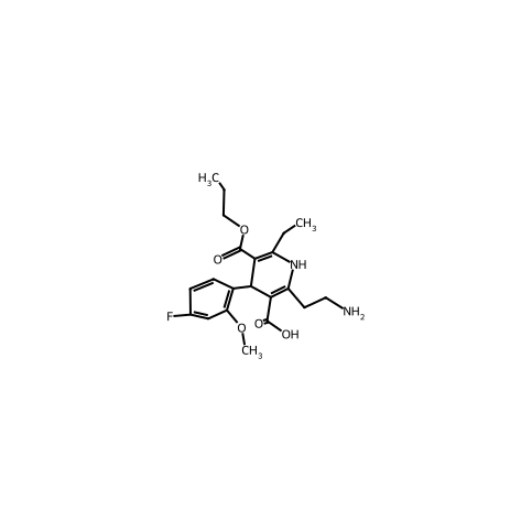 CCCOC(=O)C1=C(CC)NC(CCN)=C(C(=O)O)C1c1ccc(F)cc1OC